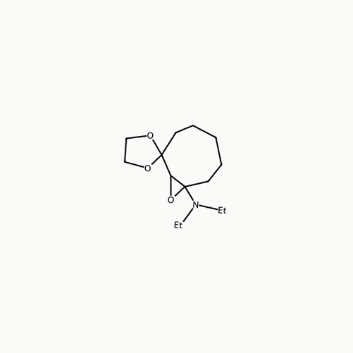 CCN(CC)C12CCCCCC3(OCCO3)C1O2